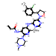 C=CC(=O)Nc1cc(Nc2cc(N3OCCC3c3cccc(C(F)(F)F)c3F)ncn2)c(OC)nc1N1CCN(C)CC1